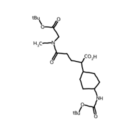 CN(CC(=O)OC(C)(C)C)C(=O)CCC(C(=O)O)C1CCC(NC(=O)OC(C)(C)C)CC1